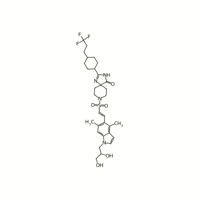 Cc1cc2c(ccn2CC(O)CO)c(C)c1C=CS(=O)(=O)N1CCC2(CC1)N=C(C1CCC(CCC(F)(F)F)CC1)NC2=O